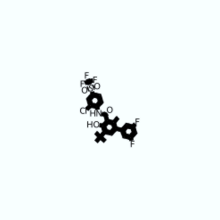 Cc1c(-c2cc(F)cc(F)c2)cc(C(C)(C)C)c(O)c1C(=O)Nc1ccc(S(=O)(=O)C(F)(F)F)cc1Cl